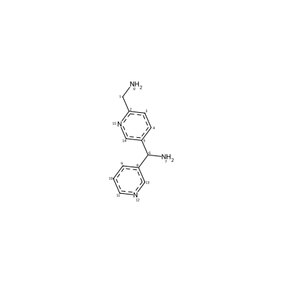 NCc1ccc(C(N)c2cccnc2)cn1